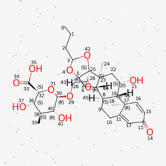 CCCC1O[C@@H]2C[C@H]3[C@@H]4CCC5=CC(=O)C=C[C@]5(C)[C@H]4[C@@H](O)C[C@]3(C)[C@]2(C(=O)CO[C@@H]2O[C@H](C(=O)O)[C@@H](O)[C@H](C)[C@H]2O)O1